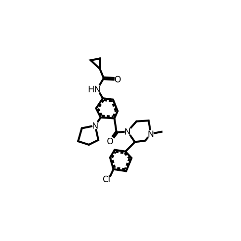 CN1CCN(C(=O)c2ccc(NC(=O)C3CC3)cc2N2CCCC2)C(c2ccc(Cl)cc2)C1